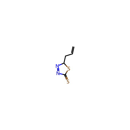 C=CCC1N=NC(=S)S1